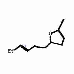 CC/C=C/CCC1CCC(C)O1